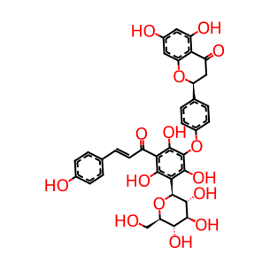 O=C1C[C@@H](c2ccc(Oc3c(O)c(C(=O)/C=C/c4ccc(O)cc4)c(O)c([C@@H]4O[C@H](CO)[C@@H](O)[C@H](O)[C@H]4O)c3O)cc2)Oc2cc(O)cc(O)c21